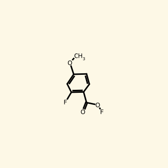 COc1ccc(C(=O)OF)c(F)c1